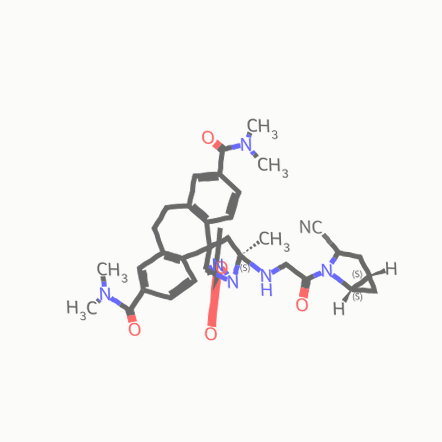 CN(C)C(=O)c1ccc2c(c1)CCc1cc(C(=O)N(C)C)ccc1C21C[C@@](C)(NCC(=O)N2C(C#N)C[C@@H]3C[C@@H]32)n2oc(=O)nc21